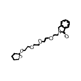 O=C1c2ccccc2CN1CCOCCOCCOCCOC1CCCCO1